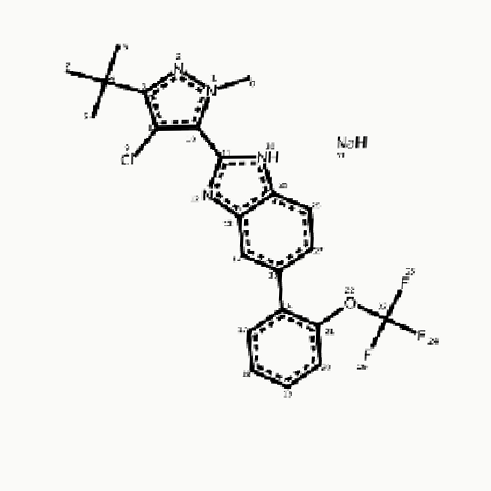 Cn1nc(C(C)(C)C)c(Cl)c1-c1nc2cc(-c3ccccc3OC(F)(F)F)ccc2[nH]1.[NaH]